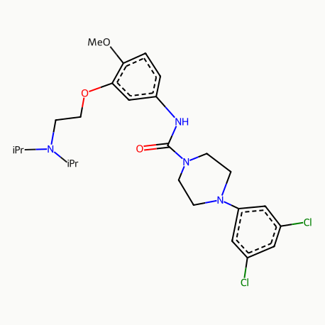 COc1ccc(NC(=O)N2CCN(c3cc(Cl)cc(Cl)c3)CC2)cc1OCCN(C(C)C)C(C)C